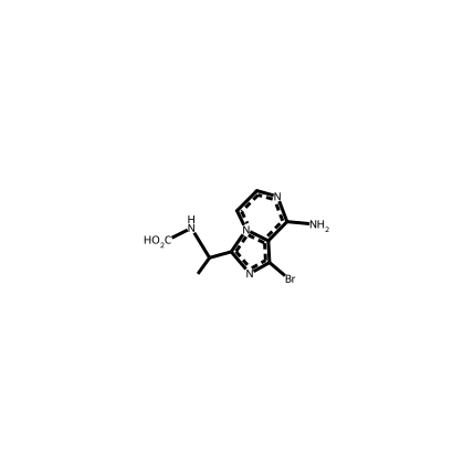 CC(NC(=O)O)c1nc(Br)c2c(N)nccn12